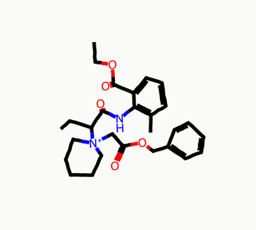 CCOC(=O)c1cccc(C)c1NC(=O)C(CC)[N+]1(CC(=O)OCc2ccccc2)CCCCC1